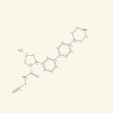 C[C@H]1C[C@@H](C(=O)NCC#N)N(c2cccc(-c3ccc(N4CCNCC4)cc3)c2)C1